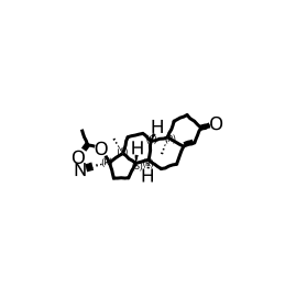 CC(=O)O[C@]1(C#N)CC[C@H]2[C@@H]3CCC4=CC(=O)CC[C@]4(C)[C@H]3CC[C@@]21C